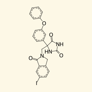 O=C1NC(=O)C(CN2Cc3ccc(I)cc3C2=O)(c2cccc(Oc3ccccc3)c2)N1